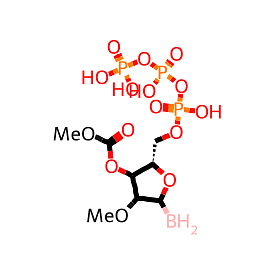 BC1O[C@@H](COP(=O)(O)OP(=O)(O)OP(=O)(O)O)C(OC(=O)OC)C1OC